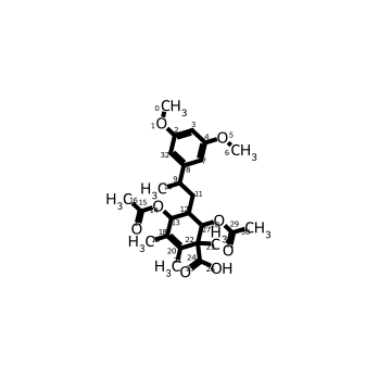 COc1cc(OC)cc(C(C)CC2C(OC(C)=O)C(C)=C(C)C(C)(C(=O)O)C2OC(C)=O)c1